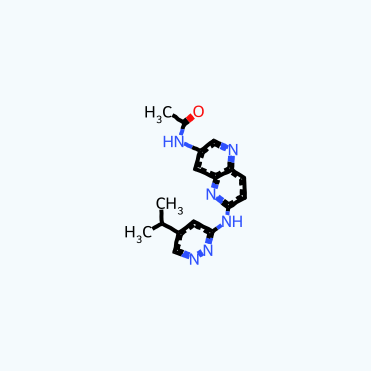 CC(=O)Nc1cnc2ccc(Nc3cc(C(C)C)cnn3)nc2c1